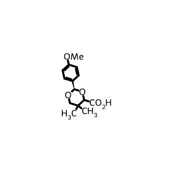 COc1ccc([C@@H]2OCC(C)(C)C(C(=O)O)O2)cc1